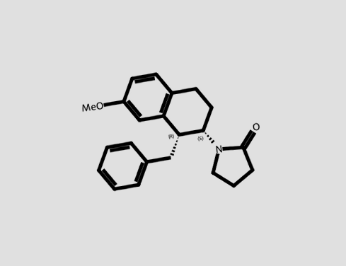 COc1ccc2c(c1)[C@@H](Cc1ccccc1)[C@@H](N1CCCC1=O)CC2